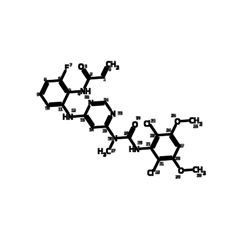 C=CC(=O)Nc1c(F)cccc1Nc1cc(N(C)C(=O)Nc2c(Cl)c(OC)cc(OC)c2Cl)ncn1